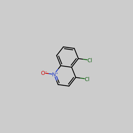 [O-][n+]1ccc(Cl)c2c(Cl)cccc21